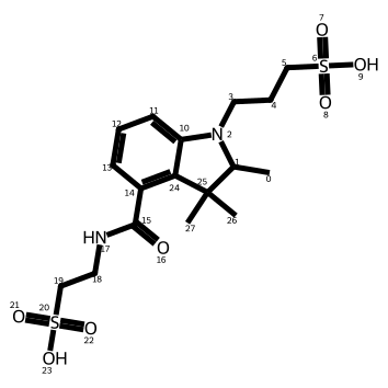 CC1N(CCCS(=O)(=O)O)c2cccc(C(=O)NCCS(=O)(=O)O)c2C1(C)C